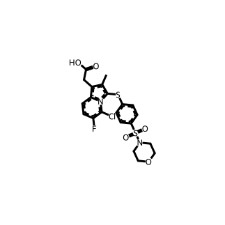 Cc1c(CC(=O)O)c2ccc(F)c(Cl)n2c1Sc1ccc(S(=O)(=O)N2CCOCC2)cc1